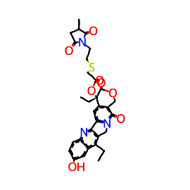 CCc1c2c(nc3ccc(O)cc13)-c1cc3c(c(=O)n1C2)COC(=O)[C@@]3(CC)OC(=O)CSCCN1C(=O)CC(C)C1=O